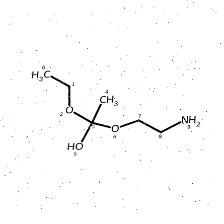 CCOC(C)(O)OCCN